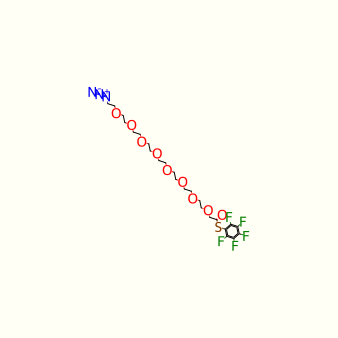 [N-]=[N+]=NCCOCCOCCOCCOCCOCCOCCOCCOCC(=O)Sc1c(F)c(F)c(F)c(F)c1F